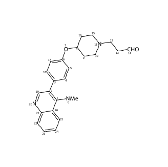 CNc1c(-c2ccc(OC3CCN(CCC=O)CC3)cc2)cnc2ccccc12